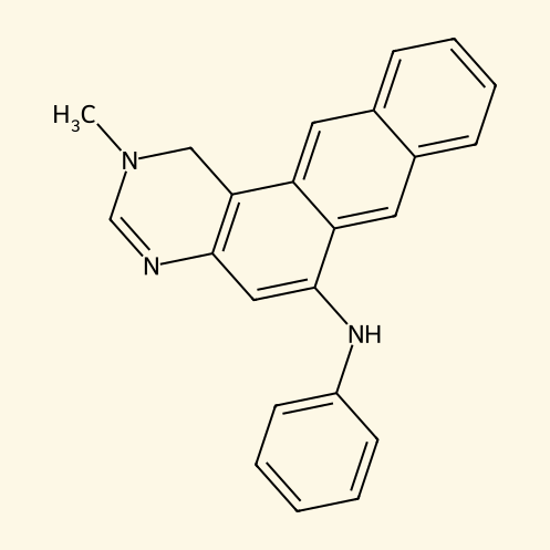 CN1C=Nc2cc(Nc3ccccc3)c3cc4ccccc4cc3c2C1